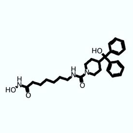 O=C(CCCCCCNC(=O)N1CCC(C(O)(c2ccccc2)c2ccccc2)CC1)NO